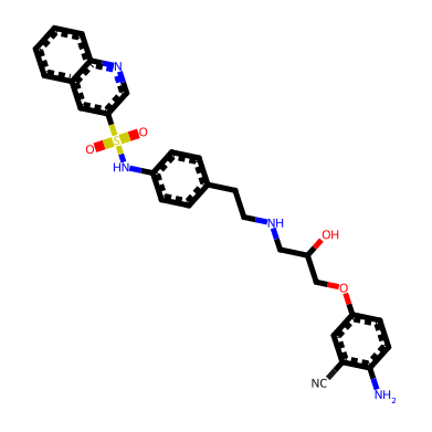 N#Cc1cc(OCC(O)CNCCc2ccc(NS(=O)(=O)c3cnc4ccccc4c3)cc2)ccc1N